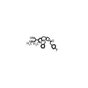 CN/C=C(\C=N)c1cc2c(nc1C)N(Cc1ccccc1)C1(CC2)CCN(C(=O)Cc2ccc(F)cc2)C1